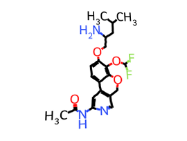 CC(=O)Nc1cc2c(cn1)COc1c-2ccc(OCC(N)CC(C)C)c1OC(F)F